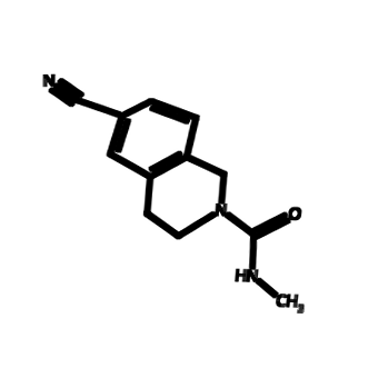 CNC(=O)N1CCc2cc(C#N)ccc2C1